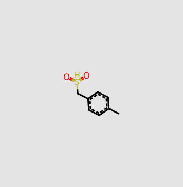 Cc1ccc(C[SH](=O)=O)cc1